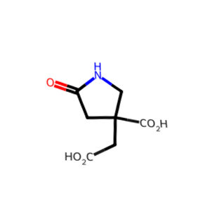 O=C(O)CC1(C(=O)O)CNC(=O)C1